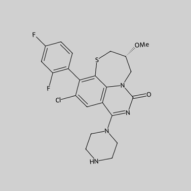 CO[C@H]1CSc2c(-c3ccc(F)cc3F)c(Cl)cc3c(N4CCNCC4)nc(=O)n(c23)C1